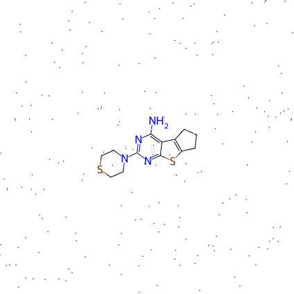 Nc1nc(N2CCSCC2)nc2sc3c(c12)CCC3